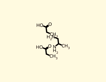 CC(N)CN.CCC(=O)O.CCC(=O)O